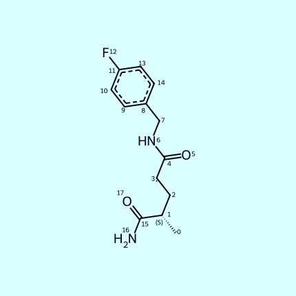 C[C@@H](C[CH]C(=O)NCc1ccc(F)cc1)C(N)=O